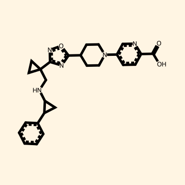 O=C(O)c1ccc(N2CCC(c3nc(C4(CNC5CC5c5ccccc5)CC4)no3)CC2)cn1